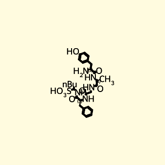 CCCCC(NC(=O)[C@H](Cc1ccccc1)NC(=O)CNC(=O)[C@@H](C)NC(=O)[C@@H](N)Cc1ccc(O)cc1)S(=O)(=O)O